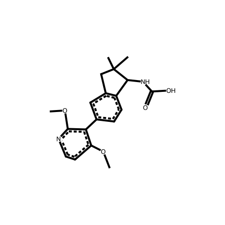 COc1ccnc(OC)c1-c1ccc2c(c1)CC(C)(C)C2NC(=O)O